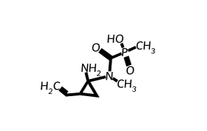 C=CC1CC1(N)N(C)C(=O)P(C)(=O)O